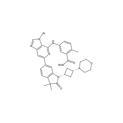 CNC(=O)c1cc(Nc2nc(-c3ccc4c(c3)N([C@H]3C[C@@H](N5CCOCC5)C3)C(=O)C4(C)C)cc3ncn(C(C)C)c23)ccc1C